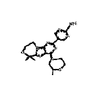 C[C@H]1CN(c2nc(-c3cnc(N)nc3)nc3c2nc2n3CCOC2(C)C)CCO1